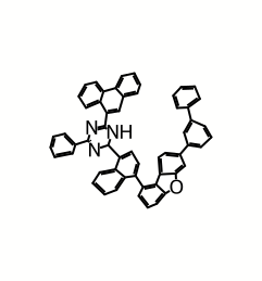 c1ccc(C2=NC(c3ccc(-c4cccc5oc6cc(-c7cccc(-c8ccccc8)c7)ccc6c45)c4ccccc34)NC(c3cc4ccccc4c4ccccc34)=N2)cc1